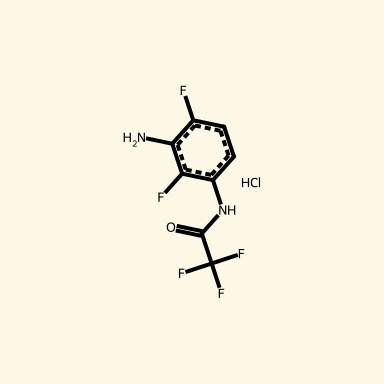 Cl.Nc1c(F)ccc(NC(=O)C(F)(F)F)c1F